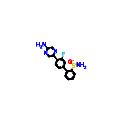 Nc1cnc(-c2ccc(-c3ccccc3[S+](N)[O-])cc2F)cn1